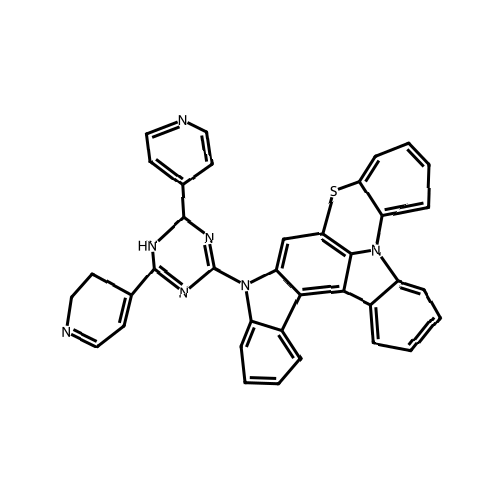 C1=NCCC(C2=NC(n3c4ccccc4c4c5c6ccccc6n6c5c(cc43)Sc3ccccc3-6)=NC(c3ccncc3)N2)=C1